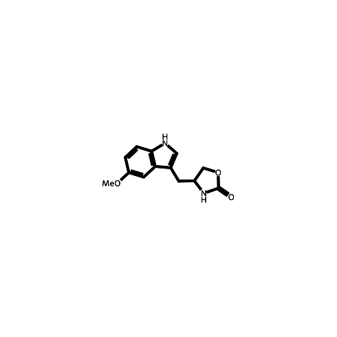 COc1ccc2[nH]cc(CC3COC(=O)N3)c2c1